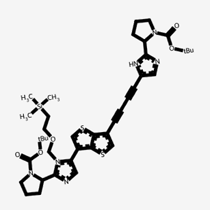 CC(C)(C)OC(=O)N1CCCC1c1ncc(C#CC#Cc2csc3c(-c4cnc(C5CCCN5C(=O)OC(C)(C)C)n4COCC[Si](C)(C)C)csc23)[nH]1